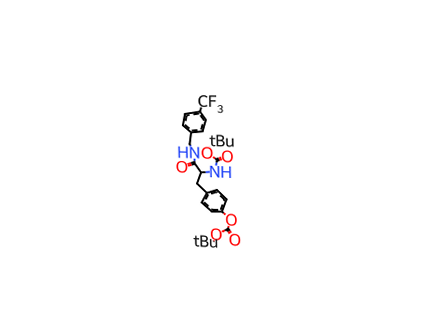 CC(C)(C)OC(=O)NC(Cc1ccc(OC(=O)OC(C)(C)C)cc1)C(=O)NCc1ccc(C(F)(F)F)cc1